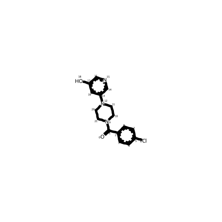 O=C(c1ccc(Cl)cc1)N1CCN(c2cncc(O)c2)CC1